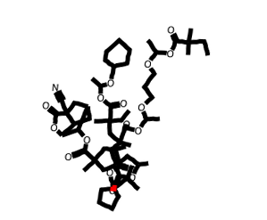 CCC(C)(C)C(=O)OC(C)OCCCOC(C)OC(=O)C(C)(CC(C)(CC)C(=O)OC(C)OC1CCCCC1)CC1(CC(C)(CC(C)C(=O)OC2(C(C)C)CCCC2)C(=O)OC2C3CC4C2OC(=O)C4(C#N)C3)CC(C)OC1=O